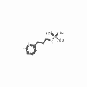 CCC[CH2][Sn]([CH2]CCC)([CH2]CCC)[O]CCCc1ccccn1